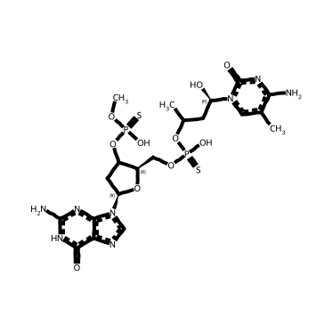 COP(O)(=S)OC1C[C@H](n2cnc3c(=O)[nH]c(N)nc32)O[C@@H]1COP(O)(=S)OC(C)C[C@@H](O)n1cc(C)c(N)nc1=O